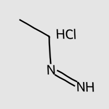 CCN=N.Cl